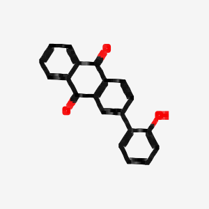 O=C1c2ccccc2C(=O)c2cc(-c3ccccc3O)ccc21